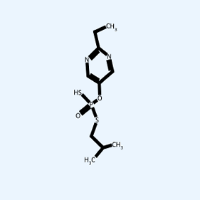 CCc1ncc(OP(=O)(S)SCC(C)C)cn1